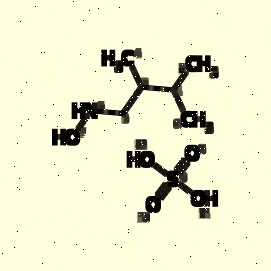 CC(C)C(C)CNO.O=S(=O)(O)O